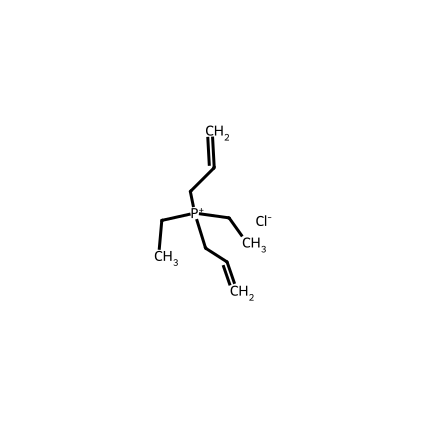 C=CC[P+](CC)(CC)CC=C.[Cl-]